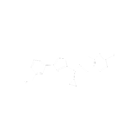 COc1cccc(-c2csc(N(/N=C/c3ccc(F)cc3C(=O)O)C3CC3)n2)c1